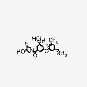 Cl.NCc1cc(Oc2cc(O)cc(C(=O)N3C[C@@H](O)[C@H](F)C3)c2)nc(C(F)(F)F)c1